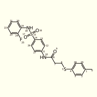 Cc1ccc(SCCC(=O)Nc2ccc(S(=O)(=O)Nc3ccccc3F)cc2)cc1